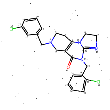 O=C1C2=C(CCN(Cc3cccc(Cl)c3)C2)N2CCN=C2N1Cc1ccccc1Cl